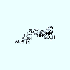 CSc1ccc(C=CC(=O)N2CCC(C(=O)NC(CNC(=O)OC(C)C)C(=O)O)CC2)c(Cl)c1Cl